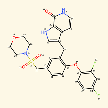 O=c1[nH]ccc2c(Cc3cc(CS(=O)(=O)N4CCOCC4)ccc3Oc3ccc(F)cc3F)c[nH]c12